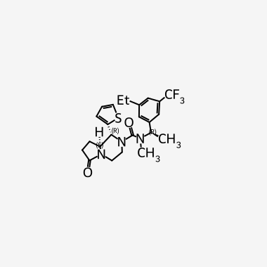 CCc1cc([C@@H](C)N(C)C(=O)N2CCN3C(=O)CC[C@H]3[C@@H]2c2cccs2)cc(C(F)(F)F)c1